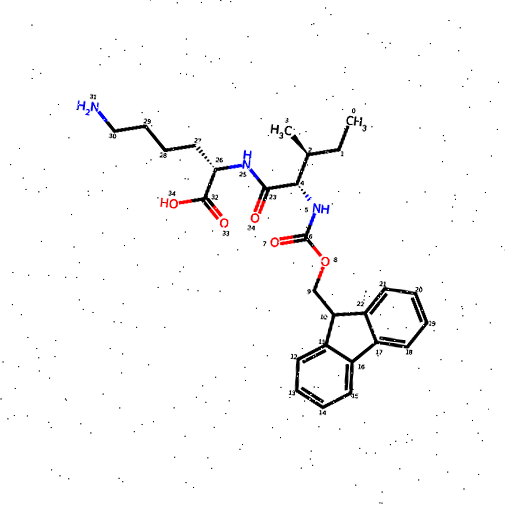 CC[C@H](C)[C@H](NC(=O)OCC1c2ccccc2-c2ccccc21)C(=O)N[C@@H](CCCCN)C(=O)O